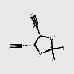 C#C[C@H]1OC(C)(C)O[C@@H]1C#C